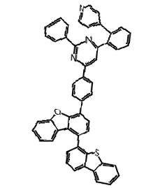 c1ccc(-c2nc(-c3ccc(-c4ccc(-c5cccc6c5sc5ccccc56)c5c4oc4ccccc45)cc3)cc(-c3ccccc3-c3ccncc3)n2)cc1